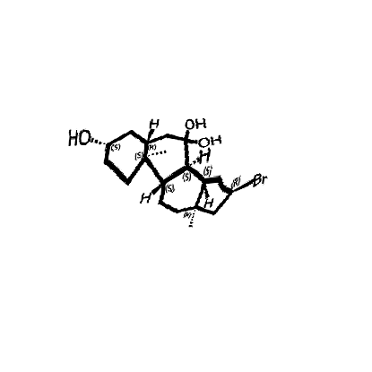 C[C@]12CC[C@H]3[C@H]([C@@H]1C[C@@H](Br)C2)C(O)(O)C[C@H]1C[C@@H](O)CC[C@@]13C